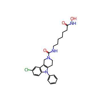 O=C(CCCCCCNC(=O)N1CCc2c(c3cc(Cl)ccc3n2-c2ccccc2)C1)NO